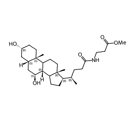 COC(=O)CCNC(=O)CC[C@@H](C)[C@H]1CCC2[C@H]3C(CC[C@@]21C)[C@@]1(C)CC[C@@H](O)C[C@H]1C[C@@H]3O